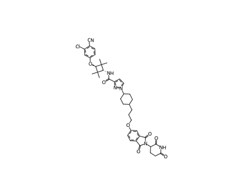 CC1(C)[C@H](NC(=O)c2ccn(C3CCC(CCCOc4ccc5c(c4)C(=O)N(C4CCC(=O)NC4=O)C5=O)CC3)n2)C(C)(C)[C@H]1Oc1ccc(C#N)c(Cl)c1